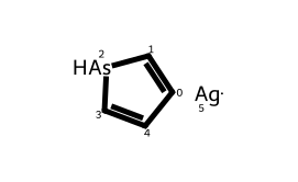 C1=C[AsH]C=C1.[Ag]